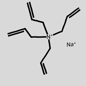 C=CC[N+](CC=C)(CC=C)CC=C.[Na+]